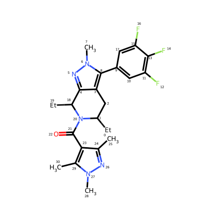 CCC1Cc2c(nn(C)c2-c2cc(F)c(F)c(F)c2)C(CC)N1C(=O)c1c(C)nn(C)c1C